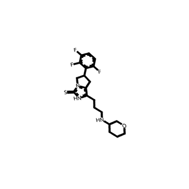 Fc1ccc(F)c(C2Cc3c(CCCNC4CCCOC4)[nH]c(=S)n3C2)c1F